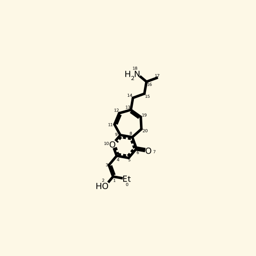 CC/C(O)=C\c1cc(=O)c2c(o1)C=CC(CCC(C)N)=CC2